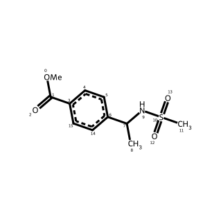 COC(=O)c1ccc(C(C)NS(C)(=O)=O)cc1